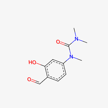 CN(C)C(=O)N(C)c1ccc(C=O)c(O)c1